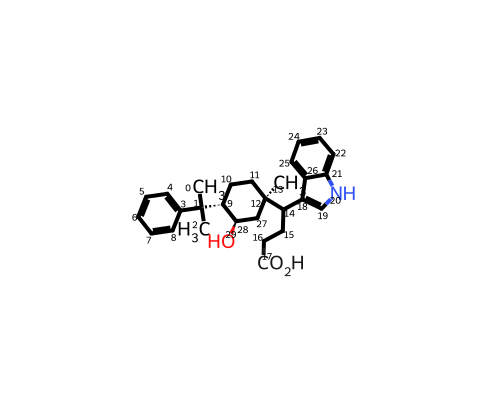 CC(C)(c1ccccc1)[C@@H]1CC[C@@](C)(C(CCC(=O)O)c2c[nH]c3ccccc23)C[C@H]1O